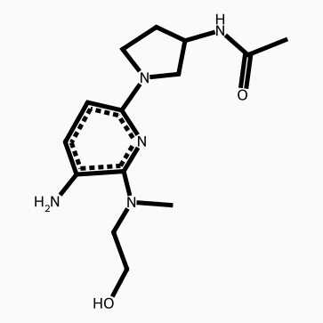 CC(=O)NC1CCN(c2ccc(N)c(N(C)CCO)n2)C1